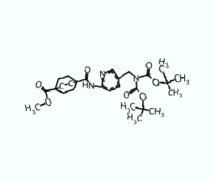 COC(=O)C12CCC(C(=O)Nc3ccc(CN(C(=O)OC(C)(C)C)C(=O)OC(C)(C)C)cn3)(CC1)CC2